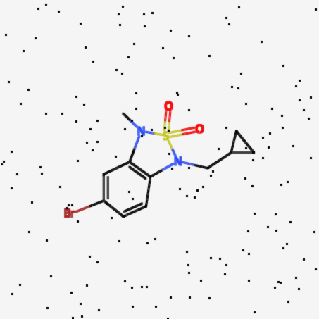 CN1c2cc(Br)ccc2N(CC2CC2)S1(=O)=O